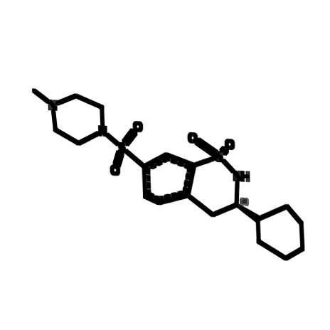 CN1CCN(S(=O)(=O)c2ccc3c(c2)S(=O)(=O)N[C@@H](C2CCCCC2)C3)CC1